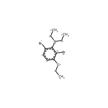 CCOc1ccc(Br)c(N(CC)CC)c1Br